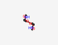 O=C(NCCc1cccc2ccc(OCCCCOc3ccc4cccc(CCNC(=O)C5CC5)c4c3)cc12)C1CC1